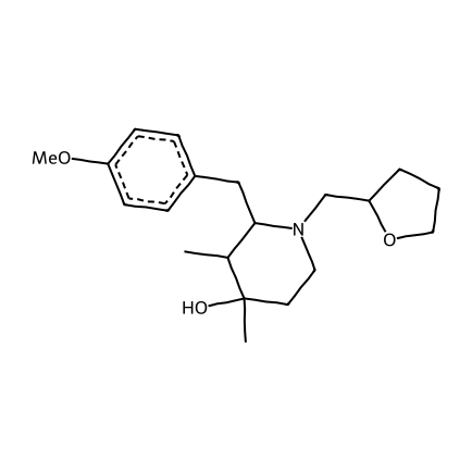 COc1ccc(CC2C(C)C(C)(O)CCN2CC2CCCO2)cc1